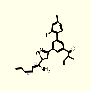 C=C/C=C\C=C(/N)C1CC(c2cc(C(=O)C(C)CC)cc(-c3ccc(C)cc3F)c2)=NO1